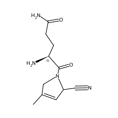 CC1=CC(C#N)N(C(=O)[C@@H](N)CCC(N)=O)C1